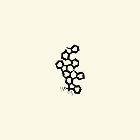 CC1(C)c2ccccc2-c2c(-c3ccccc3N3c4cccc5c4C(C)(c4ccccc4-5)c4c(-c5cccc6oc7ccccc7c56)cccc43)cccc21